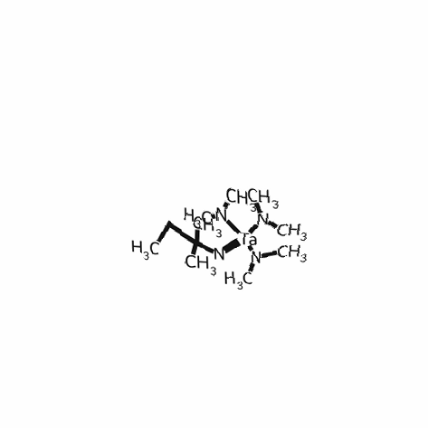 CCC(C)(C)[N]=[Ta]([N](C)C)([N](C)C)[N](C)C